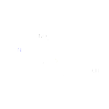 C#CCSc1cccnc1[N+](=O)[O-]